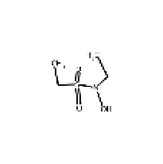 CCN(O)S(=O)(=O)CC